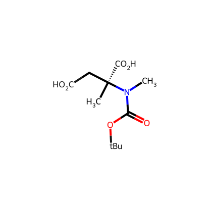 CN(C(=O)OC(C)(C)C)[C@@](C)(CC(=O)O)C(=O)O